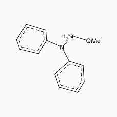 CO[SiH2]N(c1ccccc1)c1ccccc1